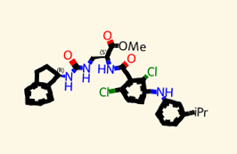 COC(=O)[C@H](CNC(=O)N[C@@H]1CCc2ccccc21)NC(=O)c1c(Cl)ccc(Nc2cccc(C(C)C)c2)c1Cl